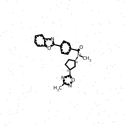 Cc1noc([C@H]2CC[C@@H](N(C)C(=O)c3ccc(-c4nc5ccccc5o4)cc3)C2)n1